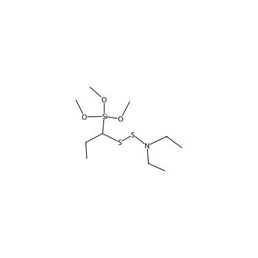 CCC(SSN(CC)CC)[Si](OC)(OC)OC